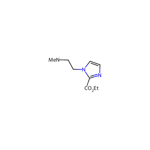 CCOC(=O)c1nccn1CCNC